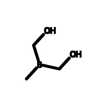 CB(CO)CO